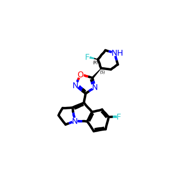 Fc1ccc2c(c1)c(-c1noc([C@@H]3CCNC[C@@H]3F)n1)c1n2CCC1